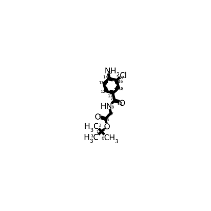 CC(C)(C)OC(=O)CNC(=O)c1ccc(N)c(Cl)c1